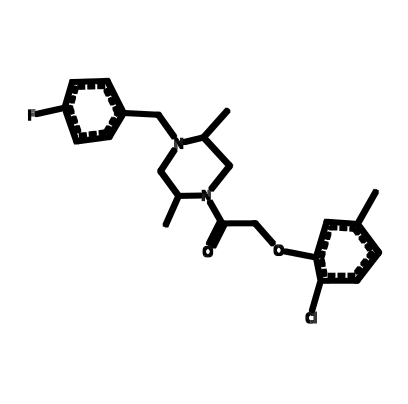 Cc1ccc(Cl)c(OCC(=O)N2CC(C)N(Cc3ccc(F)cc3)CC2C)c1